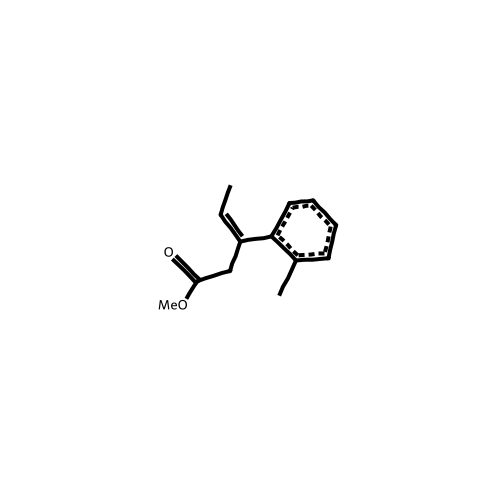 C/C=C(/CC(=O)OC)c1ccccc1C